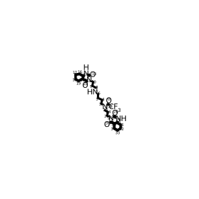 O=C(N(CCCCNCCCn1c(=O)[nH]c2ccccc2c1=O)CCCn1c(=O)[nH]c2ccccc2c1=O)C(F)(F)F